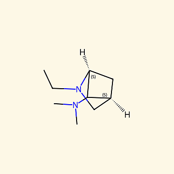 CCN1C[C@@H]2C[C@H]1C2N(C)C